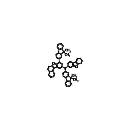 CC1(C)c2ccccc2-c2ccc(-c3cc(N(c4ccc5c(c4)C(C)(C)c4ccccc4-5)c4ccc5c(c4)oc4ccccc45)cc4c3oc3ccc5ccccc5c34)cc21